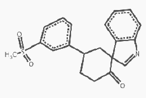 CS(=O)(=O)c1cccc(C2CCC(=O)C3(C=Nc4ccccc43)C2)c1